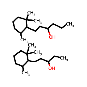 CCC(O)CCC1C(C)CCCC1(C)C.CCCC(O)CCC1C(C)CCCC1(C)C